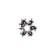 CC[Si]1(CC(F)(F)F)O[Si](CC)(CC(F)(F)F)O[Si](CC)(CC(F)(F)F)O[Si](CC)(CC(F)(F)F)O[Si](CC)(CC(F)(F)F)O[Si](CC)(CC(F)(F)F)O1